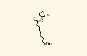 CCCCCCCCCCCCCCCCCC(=O)OC(CCC)CC(C)C